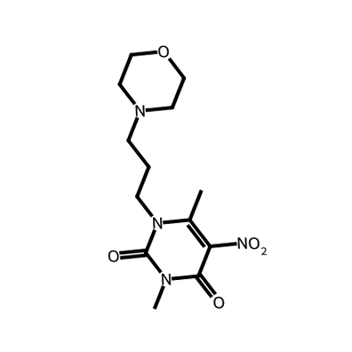 Cc1c([N+](=O)[O-])c(=O)n(C)c(=O)n1CCCN1CCOCC1